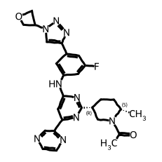 CC(=O)N1C[C@H](c2nc(Nc3cc(F)cc(-c4cn(C5COC5)nn4)c3)cc(-c3cnccn3)n2)CC[C@@H]1C